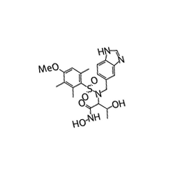 COc1cc(C)c(S(=O)(=O)N(Cc2ccc3[nH]cnc3c2)C(C(=O)NO)C(C)O)c(C)c1C